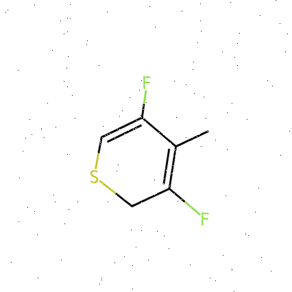 CC1=C(F)CSC=C1F